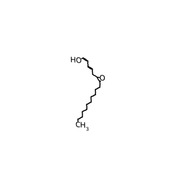 CCCCCCCCCCCC1OC1CC=C/C=C\O